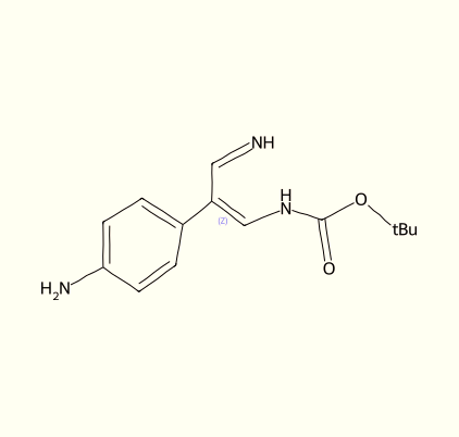 CC(C)(C)OC(=O)N/C=C(\C=N)c1ccc(N)cc1